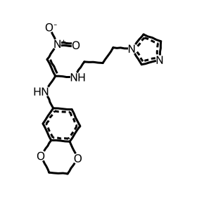 O=[N+]([O-])/C=C(\NCCCn1ccnc1)Nc1ccc2c(c1)OCCO2